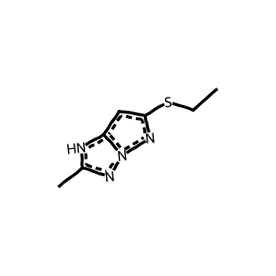 CCSc1cc2[nH]c(C)nn2n1